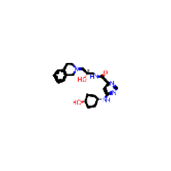 O=C(NC[C@H](O)CN1CCc2ccccc2C1)c1cc(N[C@H]2CC[C@H](O)CC2)ncn1